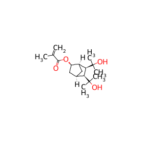 C=C(C)C(=O)O[C@@H]1C[C@H]2C[C@@H]1[C@@H](C(C)(C)O)[C@H]2C(C)(C)O